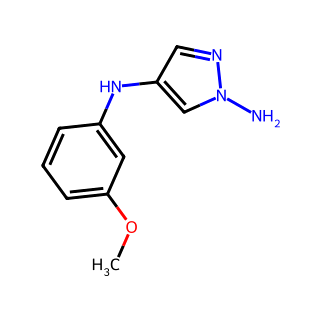 COc1cccc(Nc2cnn(N)c2)c1